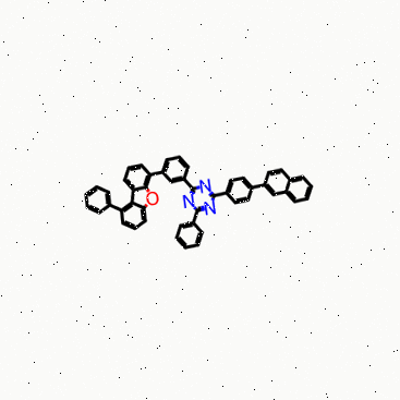 c1ccc(-c2nc(-c3ccc(-c4ccc5ccccc5c4)cc3)nc(-c3cccc(-c4cccc5c4oc4cccc(-c6ccccc6)c45)c3)n2)cc1